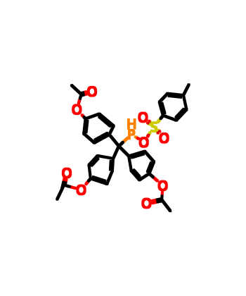 CC(=O)Oc1ccc(C(POS(=O)(=O)c2ccc(C)cc2)(c2ccc(OC(C)=O)cc2)c2ccc(OC(C)=O)cc2)cc1